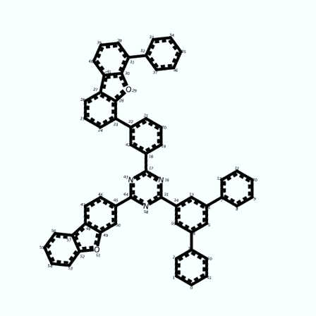 c1ccc(-c2cc(-c3ccccc3)cc(-c3nc(-c4cccc(-c5cccc6c5oc5c(-c7ccccc7)cccc56)c4)nc(-c4ccc5c(c4)oc4ccccc45)n3)c2)cc1